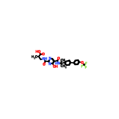 CC(CNC(=O)c1ncc(C(=O)NC(C)(C)c2ccc(-c3ccc(OC(F)(F)F)cc3)cc2)c(O)n1)C(=O)O